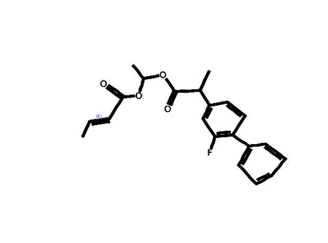 C/C=C/C(=O)OC(C)OC(=O)C(C)c1ccc(-c2ccccc2)c(F)c1